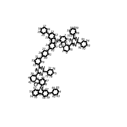 C1=CC2Oc3c(cccc3-n3c4ccc(-c5ccccc5)cc4c4cc(-c5ccc(-c6cccc(-c7nc(C8=CC=CC9Oc%10c(cccc%10-n%10c%11ccccc%11c%11ccc(-c%12ccccc%12)cc%11%10)C89)nc(-c8ccccc8)n7)c6)cc5)ccc43)C2C(c2nc(-c3ccccc3)nc(-c3ccccc3)n2)=C1